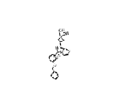 N[N+]12C=CN=CC1=C(C1CC(O)(CO)C1)N=C2c1cccc(OCc2ccccc2)c1